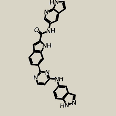 O=C(Nc1cnc2[nH]ccc2c1)c1cc2ccc(-c3nccc(Nc4ccc5[nH]ncc5c4)n3)cc2[nH]1